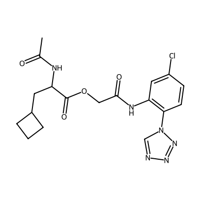 CC(=O)NC(CC1CCC1)C(=O)OCC(=O)Nc1cc(Cl)ccc1-n1cnnn1